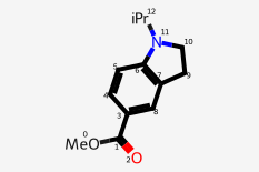 COC(=O)c1ccc2c(c1)CCN2C(C)C